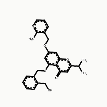 Cc1ncccc1COc1cc(OCc2ccccc2CO)c2c(=O)cc(C(C)C)oc2c1